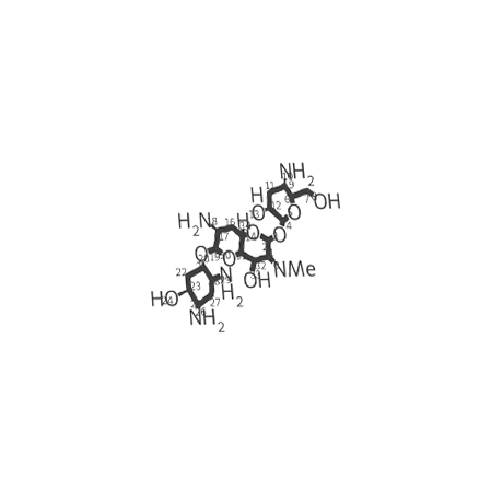 CNC1C(OC2OC(CO)[C@@H](N)C[C@@H]2O)O[C@H]2C[C@H](N)C(O[C@H]3C[C@H](O)C(N)CC3N)OC2C1O